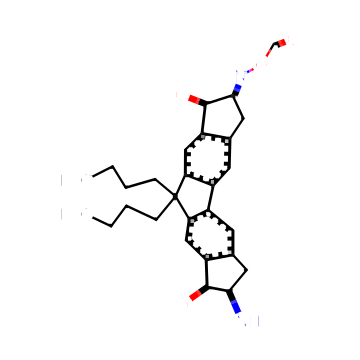 CCCCC1(CCCC)c2cc3c(cc2-c2cc4c(cc21)C(=O)/C(=N/OC=O)C4)CC(=N)C3=O